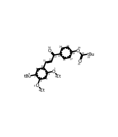 CCOc1cc(OCC)c(C(C)(C)C)cc1/C=C/C(=O)c1ccc(OC(=O)C(C)(C)C)cc1